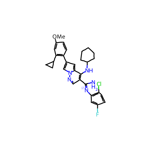 COc1ccc(-c2cc3c(NC4CCCCC4)c(/C(N)=N/c4cc(F)ccc4Cl)cnn3c2)c(C2CC2)c1